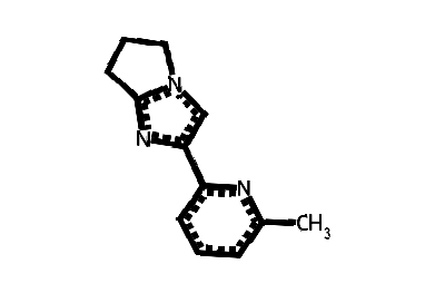 Cc1cccc(-c2cn3c(n2)CCC3)n1